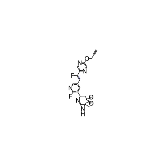 C#CCOc1cnc(/C(F)=C/c2cnc(F)c(C3CS(=O)(=O)C4(C)NC4=N3)c2)cn1